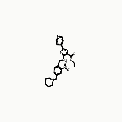 CCOC(=O)c1sc(-c2ccncc2)nc1NCc1ccc(CN2CCCCC2)cc1[N+](=O)[O-]